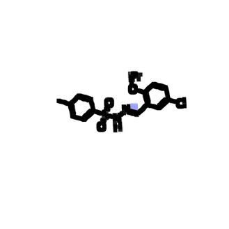 Cc1ccc(S(=O)(=O)N/N=C/c2cc(Cl)ccc2OC(C)C)cc1